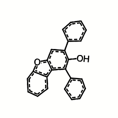 Oc1c(-c2ccccc2)cc2oc3ccccc3c2c1-c1ccccc1